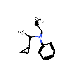 C=CCN(c1ccccc1)C(C)C1CC1